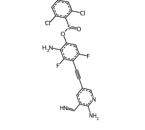 N=Cc1cc(C#Cc2c(F)cc(OS(=O)c3c(Cl)cccc3Cl)c(N)c2F)cnc1N